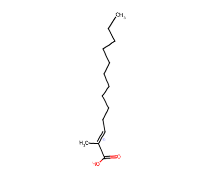 CCCCCCCCCC/C=C(\C)C(=O)O